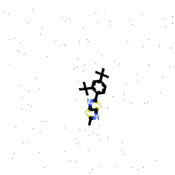 Cc1nc2sc(-c3ccc(C(C)(C)C)cc3C(C)(C)C)nc2s1